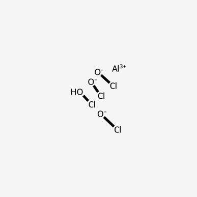 OCl.[Al+3].[O-]Cl.[O-]Cl.[O-]Cl